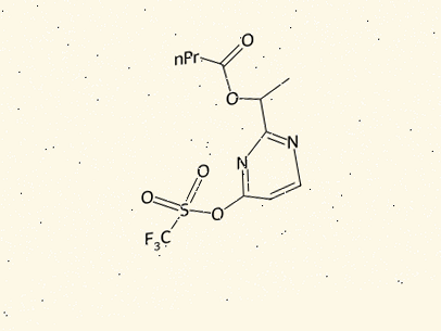 CCCC(=O)OC(C)c1nccc(OS(=O)(=O)C(F)(F)F)n1